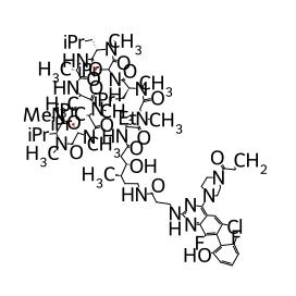 C=CC(=O)N1CCN(c2nc(NCCC(=O)NCC[C@@H](C)[C@@H](O)CC(=O)N[C@@H](CC)C(=O)N(C)CC(=O)N(C)[C@@H](CC(C)C)C(=O)NC(C(=O)N(C)[C@@H](CC(C)C)C(=O)N[C@@H](C)C(=O)N[C@H](C)C(=O)N(C)[C@@H](CC(C)C)C(=O)N(C)[C@@H](CC(C)C)C(=O)N(C)C(C(=O)NC)C(C)C)C(C)C)nc3c(F)c(-c4c(O)cccc4F)c(Cl)cc23)CC1